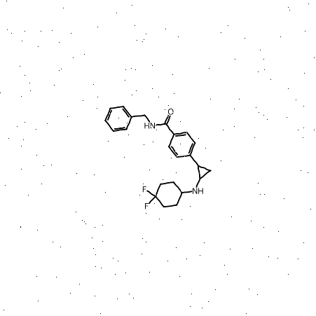 O=C(NCc1ccccc1)c1ccc(C2CC2NC2CCC(F)(F)CC2)cc1